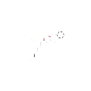 CO[C@@H](C(=O)N[C@H]1COc2ccccc2NC1=O)[C@H](O)[C@@H](O)[C@H](O)/C=C/C(C)(C)C